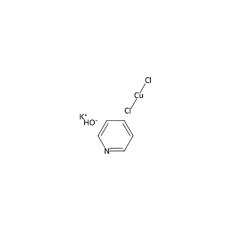 [Cl][Cu][Cl].[K+].[OH-].c1ccncc1